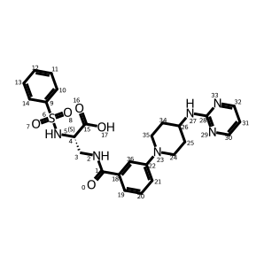 O=C(NC[C@H](NS(=O)(=O)c1ccccc1)C(=O)O)c1cccc(N2CCC(Nc3ncccn3)CC2)c1